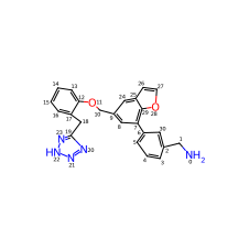 NCc1cccc(-c2cc(COc3ccccc3Cc3nn[nH]n3)cc3ccoc23)c1